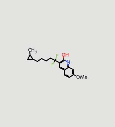 COc1ccc2cc(C(F)(F)CCCCC3CC3C)c(O)nc2c1